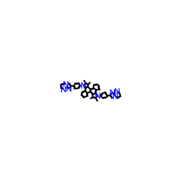 Cc1c(C)n(-c2ccc(-c3cn4cccnc4n3)cc2)c2c3ccccc3c3c4c(C)c(C)n(-c5ccc(-c6cn7cccnc7n6)cc5)c4c4ccccc4c3c12